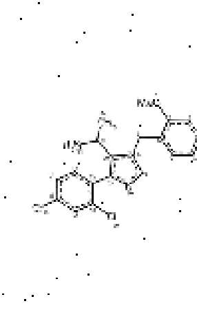 COc1ccccc1Cn1cnc(-c2ccc(Cl)cc2Cl)c1C(C)N